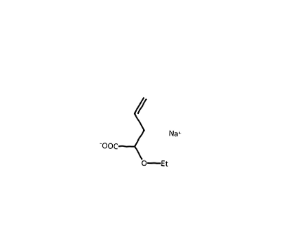 C=CCC(OCC)C(=O)[O-].[Na+]